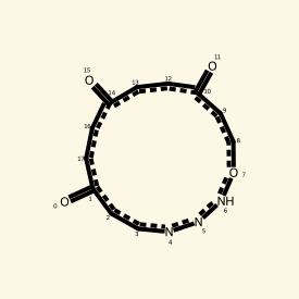 O=c1ccnn[nH]occc(=O)ccc(=O)cc1